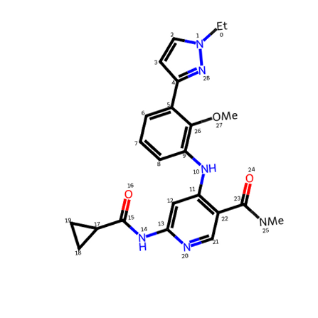 CCn1ccc(-c2cccc(Nc3cc(NC(=O)C4CC4)ncc3C(=O)NC)c2OC)n1